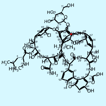 CN[C@H](CC(C)C)C(=O)N[C@H]1C(=O)N[C@@H](CC(N)=O)C(=O)N[C@H]2C(=O)N[C@H]3C(=O)N[C@H](C(=O)N[C@H](C(=O)O)c4cc(O)cc(O)c4-c4cc3ccc4I)[C@H](O)c3ccc(c(Cl)c3)Oc3cc2cc(c3O[C@@H]2O[C@H](CO)[C@@H](O)[C@H](O)[C@H]2O[C@H]2C[C@](C)(N)[C@H](O)[C@H](C)O2)Oc2ccc(cc2Cl)[C@H]1O